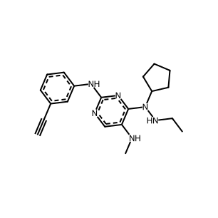 C#Cc1cccc(Nc2ncc(NC)c(N(NCC)C3CCCC3)n2)c1